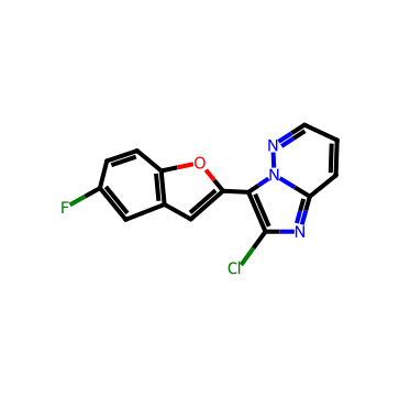 Fc1ccc2oc(-c3c(Cl)nc4cccnn34)cc2c1